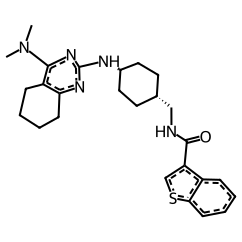 CN(C)c1nc(N[C@H]2CC[C@@H](CNC(=O)c3csc4ccccc34)CC2)nc2c1CCCC2